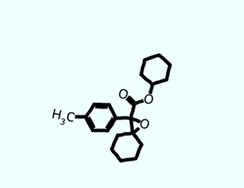 Cc1ccc(C2(C(=O)OC3CCCCC3)OC23CCCCC3)cc1